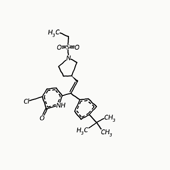 CCS(=O)(=O)N1CC[C@H](C=C(c2ccc(C(C)(C)C)cc2)c2ccc(Cl)c(=O)[nH]2)C1